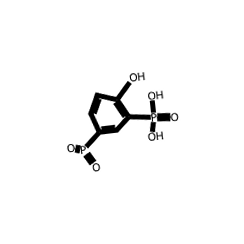 O=P(=O)c1ccc(O)c(P(=O)(O)O)c1